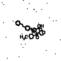 C[C@H]1CC[C@H](C(=O)N(c2nn(-c3ccc(CCc4ccccc4)cc3)cc2C(=O)O)C2CCOCC2)CC1